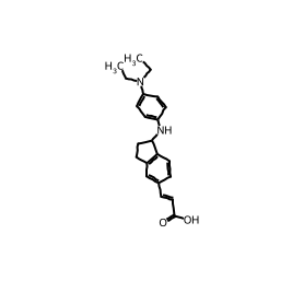 CCN(CC)c1ccc(NC2CCc3cc(/C=C/C(=O)O)ccc32)cc1